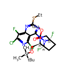 CCSc1nc(N2C[C@@]3(F)CC[C@@](F)([C@H]2CO[Si](C)(C)C(C)(C)C)N3C(=O)OC(C)(C)C)c2c(Br)nc(Cl)c(F)c2n1